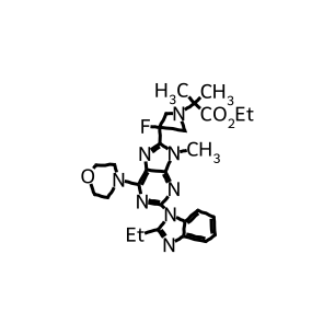 CCOC(=O)C(C)(C)N1CC(F)(c2nc3c(N4CCOCC4)nc(-n4c(CC)nc5ccccc54)nc3n2C)C1